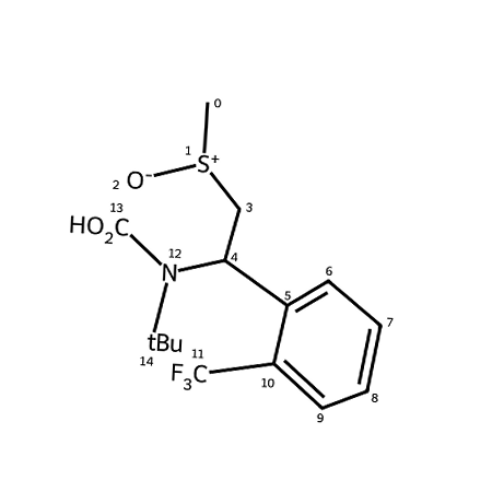 C[S+]([O-])CC(c1ccccc1C(F)(F)F)N(C(=O)O)C(C)(C)C